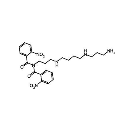 NCCCNCCCCNCCCN(C(=O)c1ccccc1[N+](=O)[O-])C(=O)c1ccccc1[N+](=O)[O-]